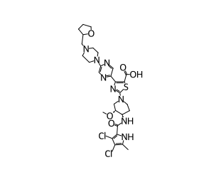 CO[C@H]1CN(c2nc(-c3cnc(N4CCN(CC5CCCO5)CC4)cn3)c(C(=O)O)s2)CC[C@H]1NC(=O)c1[nH]c(C)c(Cl)c1Cl